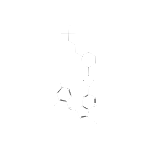 C[C@H](c1ccc(Cl)cc1Cl)n1nc(C#N)c2ncc(N3CC(C4CCCN(CCCC(C)(C)O)C4)C3)nc21